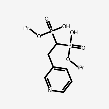 CC(C)OP(=O)(O)C(Cc1cccnc1)P(=O)(O)OC(C)C